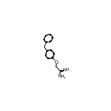 N=C(N)COc1ccc(Cc2ccccc2)cc1